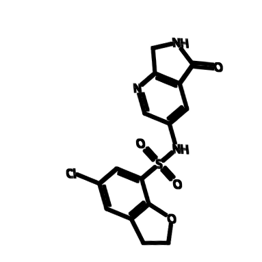 O=C1NCc2ncc(NS(=O)(=O)c3cc(Cl)cc4c3OCC4)cc21